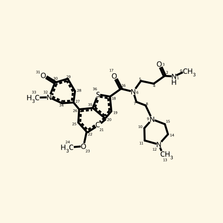 CNC(=O)CCN(CCN1CCN(C)CC1)C(=O)c1cc2cc(OC)cc(-c3ccc(=O)n(C)c3)c2s1